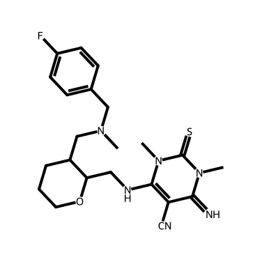 CN(Cc1ccc(F)cc1)CC1CCCOC1CNc1c(C#N)c(=N)n(C)c(=S)n1C